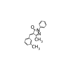 CC1=NN(c2ccccc2)C(=O)/C1=C/c1cccc(C)c1